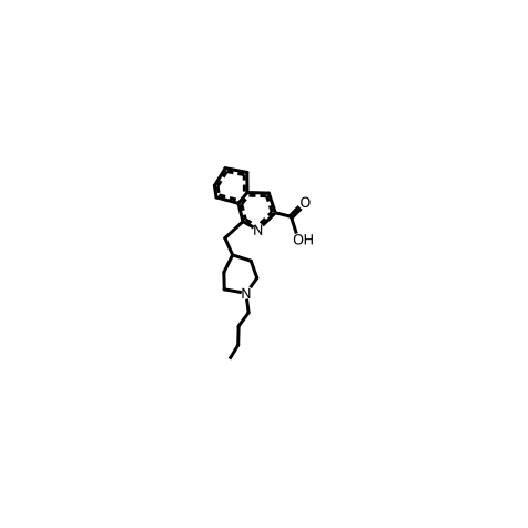 CCCCN1CCC(Cc2nc(C(=O)O)cc3ccccc23)CC1